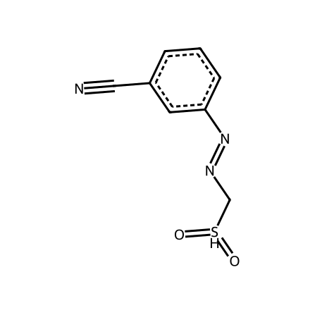 N#Cc1cccc(N=NC[SH](=O)=O)c1